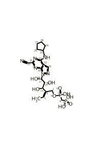 C/C=C(/COP(=O)(O)CP(=O)(O)O)[C@@H](O)[C@@H](O)[C@@H](O)n1ncc2c(NC3CCCC3)nc(C#N)nc21